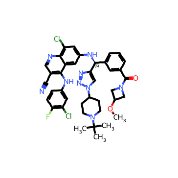 COC1CN(C(=O)c2cccc([C@H](Nc3cc(Cl)c4ncc(C#N)c(Nc5ccc(F)c(Cl)c5)c4c3)c3cn(C4CCN(C(C)(C)C)CC4)nn3)c2)C1